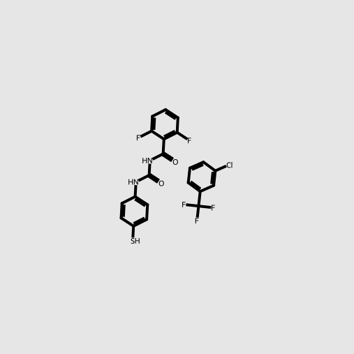 FC(F)(F)c1cccc(Cl)c1.O=C(NC(=O)c1c(F)cccc1F)Nc1ccc(S)cc1